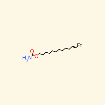 CCC=CCCCCCCCCCCOC(N)=O